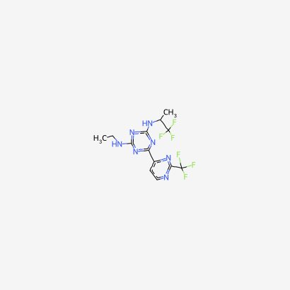 CCNc1nc(NC(C)C(F)(F)F)nc(-c2ccnc(C(F)(F)F)n2)n1